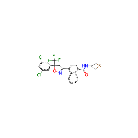 O=C(NC1CSC1)c1ccc(C2=NOC(c3cc(Cl)cc(Cl)c3)(C(F)(F)F)C2)c2ccccc12